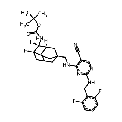 CC(C)(C)OC(=O)N[C@@H]1[C@@H]2CC3C[C@H]1C[C@@](CNc1nc(NCc4c(F)cccc4F)ncc1C#N)(C3)C2